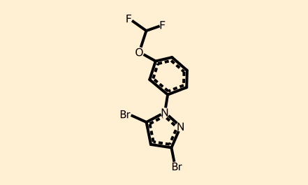 FC(F)Oc1cccc(-n2nc(Br)cc2Br)c1